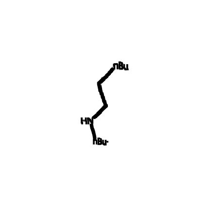 [CH2]CC[CH]NCCCCCC